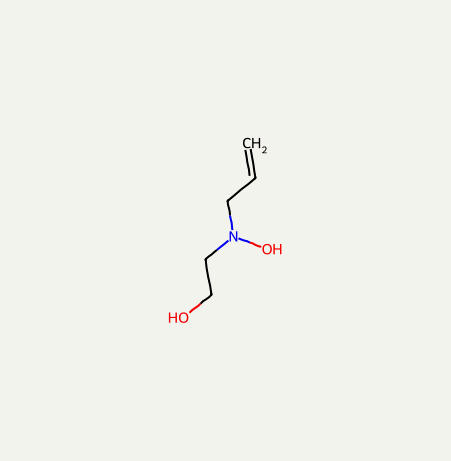 C=CCN(O)CCO